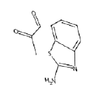 CC(=O)C=O.Nc1nc2ccccc2s1